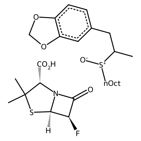 CC1(C)S[C@@H]2[C@H](F)C(=O)N2[C@H]1C(=O)O.CCCCCCCC[S+]([O-])C(C)Cc1ccc2c(c1)OCO2